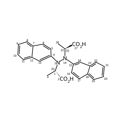 C[C@@H](C(=O)O)N(c1ccc2ccccc2c1)N(c1ccc2ccccc2c1)[C@@H](C)C(=O)O